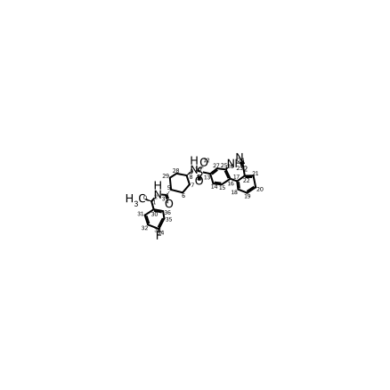 C[C@@H](NC(=O)[C@H]1CC[C@H](NS(=O)(=O)c2ccc(-c3ccccc3C#N)c(N)c2)CC1)c1ccc(F)cc1